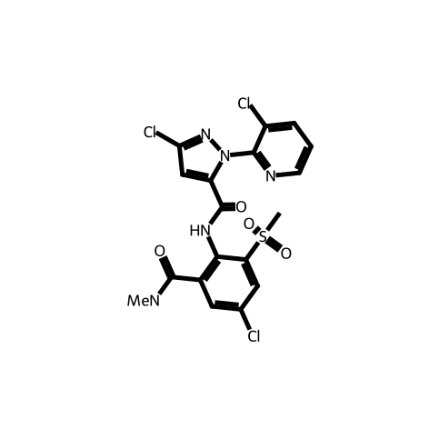 CNC(=O)c1cc(Cl)cc(S(C)(=O)=O)c1NC(=O)c1cc(Cl)nn1-c1ncccc1Cl